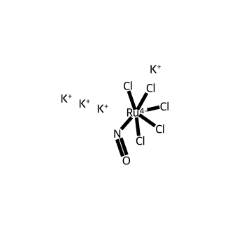 O=[N][Ru-4]([Cl])([Cl])([Cl])([Cl])[Cl].[K+].[K+].[K+].[K+]